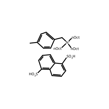 CCCCCCCC[N+](CCCCCCCC)(CCCCCCCC)Cc1ccc(C)cc1.O=S(=O)(O)c1cccc2c(S(=O)(=O)O)cccc12